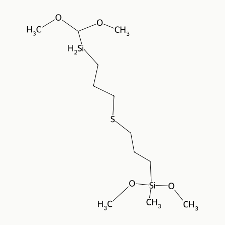 COC(OC)[SiH2]CCCSCCC[Si](C)(OC)OC